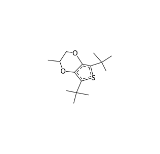 CC1COc2c(C(C)(C)C)sc(C(C)(C)C)c2O1